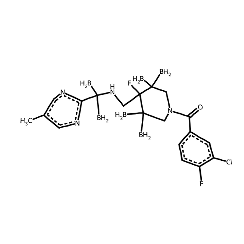 BC(B)(NCC1(F)C(B)(B)CN(C(=O)c2ccc(F)c(Cl)c2)CC1(B)B)c1ncc(C)cn1